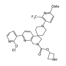 CCOc1ncccc1-c1ccc2c(n1)CN(C(=O)OC1CNC1)CC21CCN(c2ccc(OC)nc2C(F)(F)F)CC1